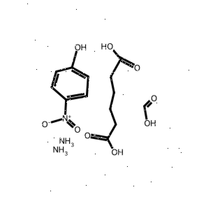 N.N.O=C(O)CCCCC(=O)O.O=CO.O=[N+]([O-])c1ccc(O)cc1